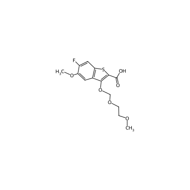 COCCOCOc1c(C(=O)O)sc2cc(F)c(OC)cc12